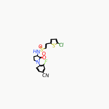 N#Cc1ccc(N2CCC(NS(=O)(=O)/C=C/c3ccc(Cl)s3)C2=O)c(F)c1